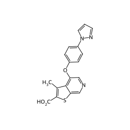 Cc1c(C(=O)O)sc2cncc(Oc3ccc(-n4cccn4)cc3)c12